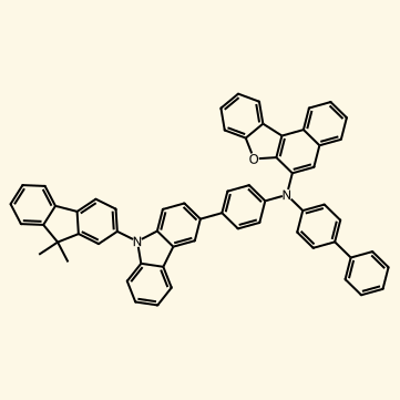 CC1(C)c2ccccc2-c2ccc(-n3c4ccccc4c4cc(-c5ccc(N(c6ccc(-c7ccccc7)cc6)c6cc7ccccc7c7c6oc6ccccc67)cc5)ccc43)cc21